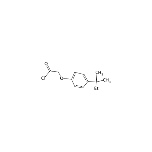 CCC(C)(C)c1ccc(OCC(=O)Cl)cc1